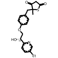 CCc1ccc([C@H](O)COc2ccc(CC3(C)SC(=O)CC3=O)cc2)nc1